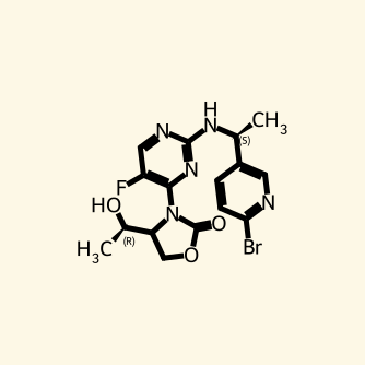 C[C@H](Nc1ncc(F)c(N2C(=O)OCC2[C@@H](C)O)n1)c1ccc(Br)nc1